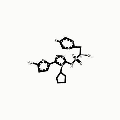 Cc1ccc(-c2nnc(NS(=O)(=O)[C@H](C)Cc3ncc(F)cn3)n2C2CCCC2)o1